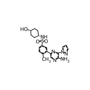 Cc1ccc(S(=O)(=O)N[C@H]2CC[C@H](O)CC2)cc1-c1cnc(N)c(-n2cccn2)n1